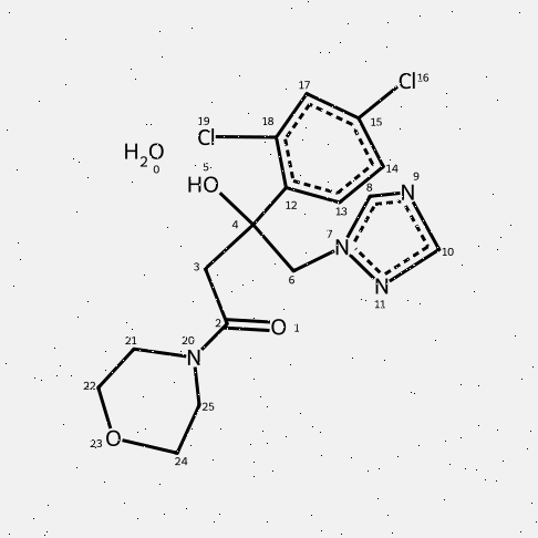 O.O=C(CC(O)(Cn1cncn1)c1ccc(Cl)cc1Cl)N1CCOCC1